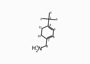 CC(C)(C)C1=CC=C(CN)CC1